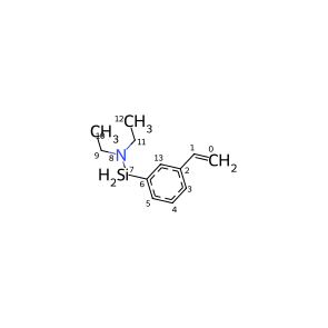 C=Cc1cccc([SiH2]N(CC)CC)c1